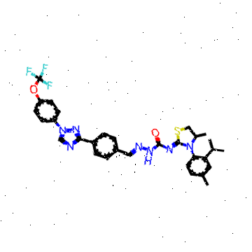 Cc1ccc(N2/C(=N/C(=O)N/N=C/c3ccc(-c4ncn(-c5ccc(OC(F)(F)F)cc5)n4)cc3)SCC2C)c(C(C)C)c1